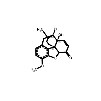 COc1ccc2c3c1OC1C(=O)C=C[C@@]4(O)[C@@H](C2)C(N)CC[C@]314